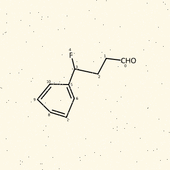 O=CCC[C](F)c1ccccc1